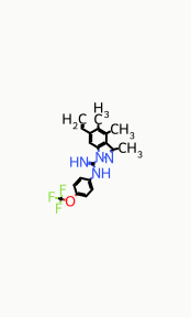 C=Cc1cc2c(c(C)nn2C(=N)Nc2ccc(OC(F)(F)F)cc2)c(C)c1C